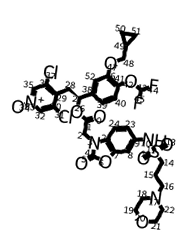 O=C(Cn1c(=O)oc2cc(NS(=O)(=O)CCCN3CCOCC3)ccc21)O[C@@H](Cc1c(Cl)c[n+]([O-])cc1Cl)c1ccc(OC(F)F)c(OCC2CC2)c1